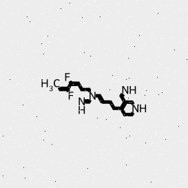 C/C=C(F)\C(F)=C/CCN(C=N)/C=C/CCC1=C(C=N)CNCC1